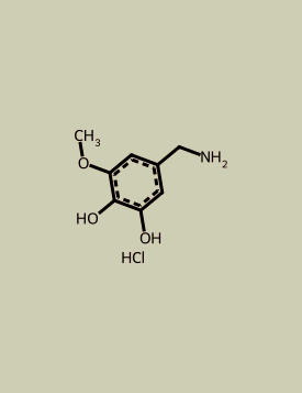 COc1cc(CN)cc(O)c1O.Cl